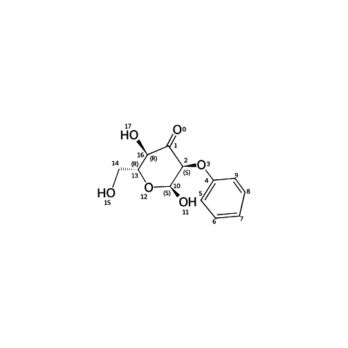 O=C1[C@@H](Oc2ccccc2)[C@@H](O)O[C@H](CO)[C@H]1O